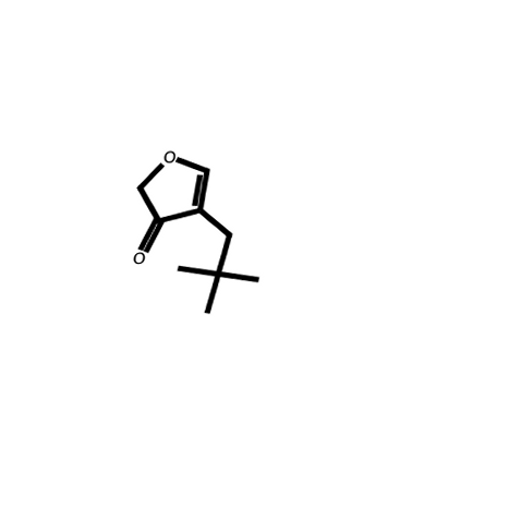 CC(C)(C)CC1=COCC1=O